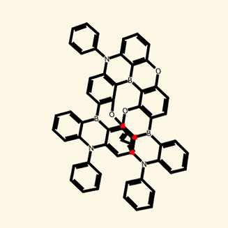 c1ccc(N2c3ccccc3B3c4ccc5c(c4Oc4cccc2c43)B2c3c(cccc3N(c3ccccc3)c3ccc4c(c32)Oc2cccc3c2B4c2ccccc2N3c2ccccc2)O5)cc1